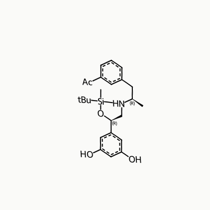 CC(=O)c1cccc(C[C@@H](C)NC[C@H](O[Si](C)(C)C(C)(C)C)c2cc(O)cc(O)c2)c1